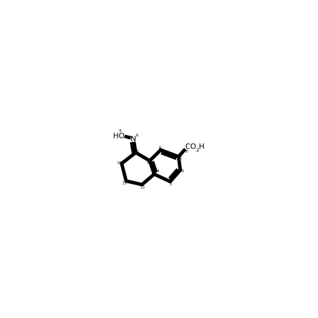 O=C(O)c1ccc2c(c1)/C(=N/O)CCC2